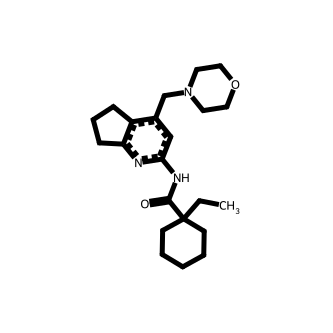 CCC1(C(=O)Nc2cc(CN3CCOCC3)c3c(n2)CCC3)CCCCC1